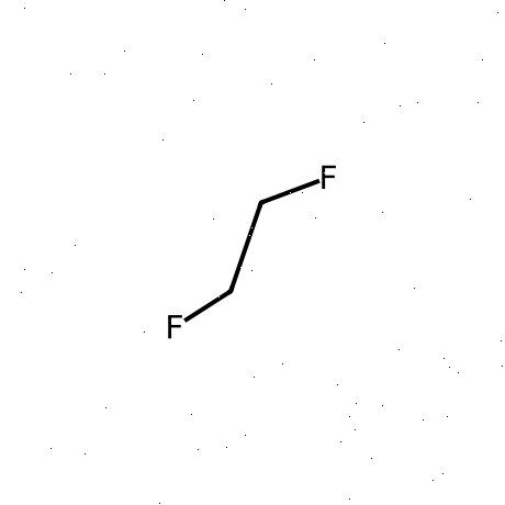 FCCF